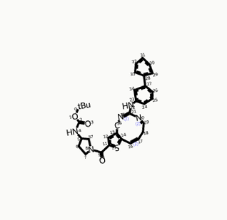 CC(C)(C)OC(=O)NC1CCN(C(=O)c2cc3c(s2)/C=C\C/C=N\C(Nc2cccc(-c4ccccc4)c2)=N/C3)C1